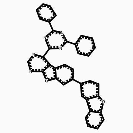 c1ccc(-c2nc(-c3ccccc3)nc(-c3ncnc4oc5cc(-c6ccc7oc8ccccc8c7c6)ccc5c34)n2)cc1